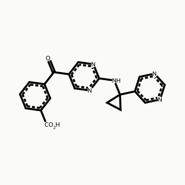 O=C(O)c1cccc(C(=O)c2cnc(NC3(c4cncnc4)CC3)nc2)c1